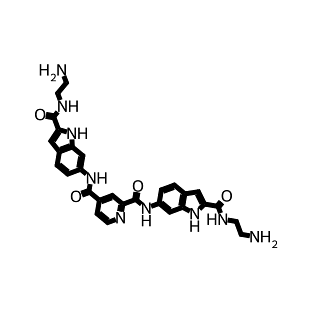 NCCNC(=O)c1cc2ccc(NC(=O)c3ccnc(C(=O)Nc4ccc5cc(C(=O)NCCN)[nH]c5c4)c3)cc2[nH]1